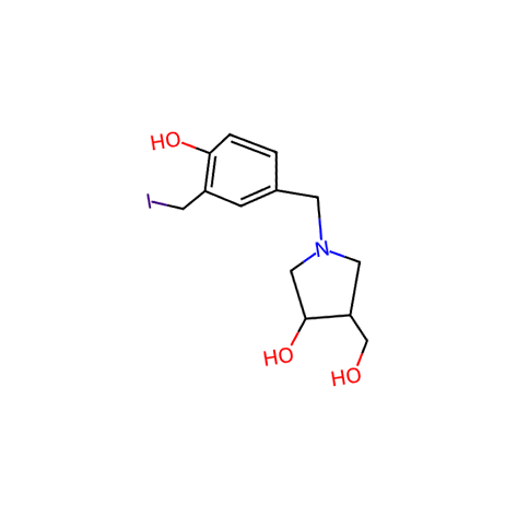 OCC1CN(Cc2ccc(O)c(CI)c2)CC1O